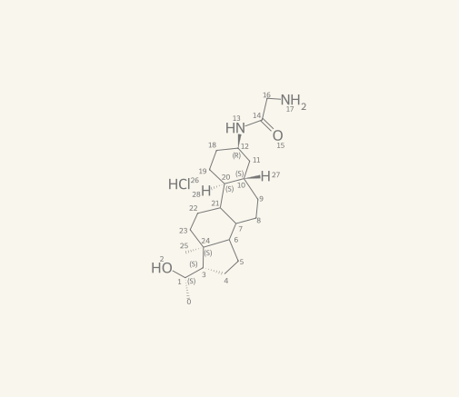 C[C@H](O)[C@H]1CCC2C3CC[C@H]4C[C@H](NC(=O)CN)CC[C@@H]4C3CC[C@@]21C.Cl